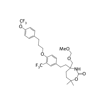 COCOCC1(CCc2ccc(OCCCc3ccc(OC(F)(F)F)cc3)c(C(F)(F)F)c2)CCC(C)(C)OC(=O)N1